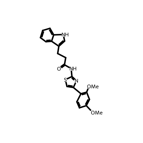 COc1ccc(-c2csc(NC(=O)CCc3c[nH]c4ccccc34)n2)c(OC)c1